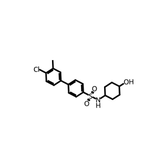 Cc1cc(-c2ccc(S(=O)(=O)NC3CCC(O)CC3)cc2)ccc1Cl